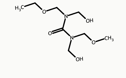 CCOCN(CO)C(=O)N(CO)COC